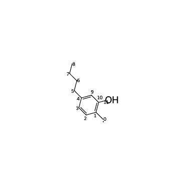 [CH2]c1ccc(CCCC)cc1O